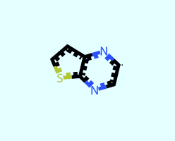 [c]1cnc2sccc2n1